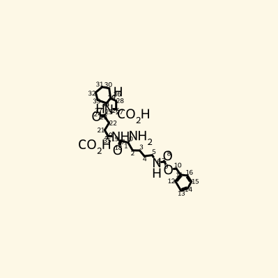 N[C@@H](CCCCNC(=O)OCc1ccccc1)C(=O)N[C@H](CCC(=O)N1[C@H](C(=O)O)C[C@@H]2CCCC[C@@H]21)C(=O)O